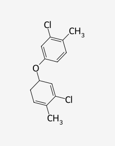 CC1=CCC(Oc2ccc(C)c(Cl)c2)C=C1Cl